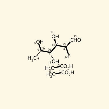 CC(=O)O.CC(=O)O.C[C@H](O)[C@@H](O)[C@@H](O)[C@H](F)C=O